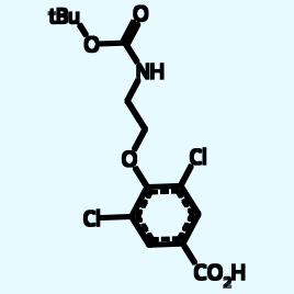 CC(C)(C)OC(=O)NCCOc1c(Cl)cc(C(=O)O)cc1Cl